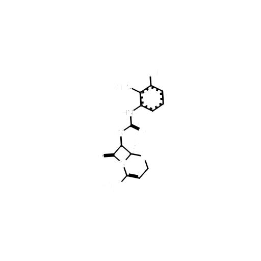 Cc1cccc(NC(=O)NC2C(=O)N3C(C(=O)O)=CCS[C@H]23)c1N